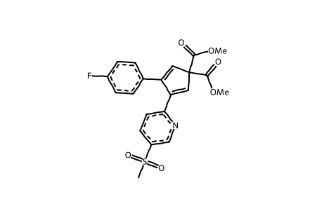 COC(=O)C1(C(=O)OC)C=C(c2ccc(F)cc2)C(c2ccc(S(C)(=O)=O)cn2)=C1